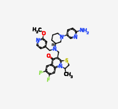 COc1cc(CN(Cc2c3n(c4cc(F)c(F)cc4c2=O)C(C)CS3)[C@H]2CCCN(c3ccc(N)nc3)C2)ccn1